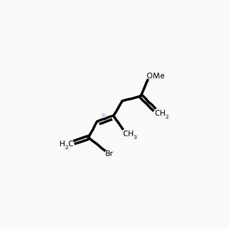 C=C(Br)/C=C(\C)CC(=C)OC